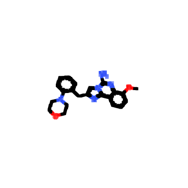 COc1cccc2c1nc(N)n1cc(Cc3ccccc3N3CCOCC3)nc21